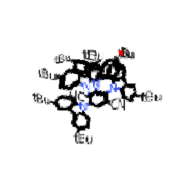 CC(C)(C)c1ccc2c(c1)c1cc(C(C)(C)C)ccc1n2C1=C(n2c3ccc(C(C)(C)C)cc3c3cc(C(C)(C)C)ccc32)C(C#N)(n2c3ccc(C(C)(C)C)cc3c3cc(C(C)(C)C)ccc32)C(n2c3ccc(C(C)(C)C)cc3c3cc(C(C)(C)C)ccc32)C=C1C#N